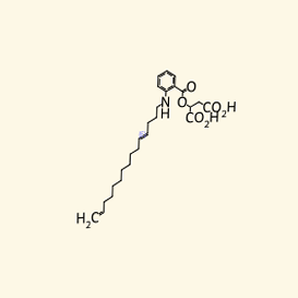 C=CCCCCCCCC/C=C/CCCNc1ccccc1C(=O)OC(CC(=O)O)C(=O)O